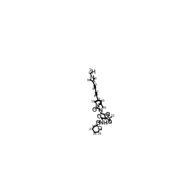 [2H]CN1CC(C#CC#Cc2cc3n(c2)C(=O)N(CC[C@](C)(C(=O)NOC2CCCCO2)S(C)(=O)=O)C3)C1